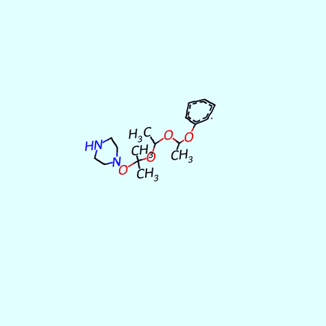 CC(Oc1[c]cccc1)OC(C)OC(C)(C)ON1CCNCC1